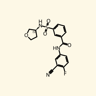 N#Cc1cc(NC(=O)c2cccc(S(=O)(=O)N[C@H]3CCOC3)c2)ccc1F